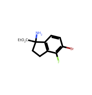 CCOC(=O)C1(N)CCc2c1ccc(Br)c2F